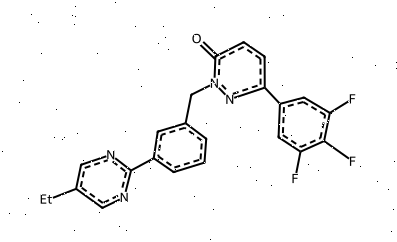 CCc1cnc(-c2cccc(Cn3nc(-c4cc(F)c(F)c(F)c4)ccc3=O)c2)nc1